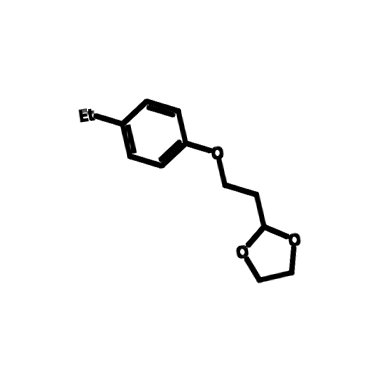 CCc1ccc(OCCC2OCCO2)cc1